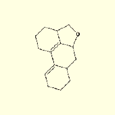 C1=C2C3=C4C(CCC3)COC4CC2CCC1